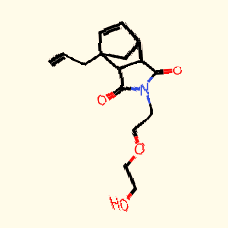 C=CCC12C=CC(C1)C1C(=O)N(CCOCCO)C(=O)C12